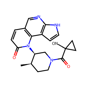 C[C@@H]1CCN(C(=O)C2(N=O)CC2)C[C@@H]1n1c(=O)ccc2cnc3[nH]ccc3c21